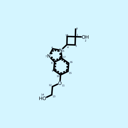 CC1(O)CC(n2cnc3cc(OCCO)ccc32)C1